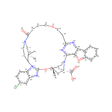 C[C@@H]1CN2CCC1n1c(nc3cc(Cl)ccc31)O[C@H]1C[C@@H](C(=O)O)N(C1)c1nc(nc3c1oc1ccccc13)CCOCCCC2=O